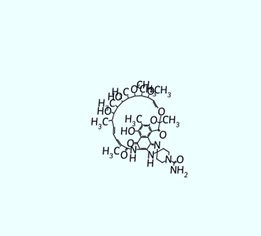 COC1/C=C/OC2(C)Oc3c(C)c(O)c4c(c3C2=O)C2=NC3(CCN(C(N)=O)CC3)NC2=C(NC(=O)/C(C)=C\C=C\C(C)C(O)C(C)C(O)C(C)C(OC)C1C)C4=O